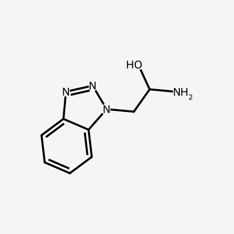 NC(O)Cn1nnc2ccccc21